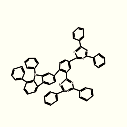 c1ccc(-c2nc(-c3ccccc3)nc(-c3ccc(-c4ccc5c6cccc(-c7ccccc7)c6n(-c6ccccc6)c5c4)c(-c4nc(-c5ccccc5)nc(-c5ccccc5)n4)c3)n2)cc1